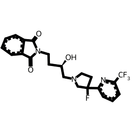 O=C1c2ccccc2C(=O)N1CC[C@@H](O)CN1CCC(F)(c2cccc(C(F)(F)F)n2)C1